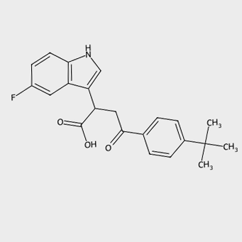 CC(C)(C)c1ccc(C(=O)CC(C(=O)O)c2c[nH]c3ccc(F)cc23)cc1